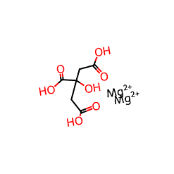 O=C(O)CC(O)(CC(=O)O)C(=O)O.[Mg+2].[Mg+2]